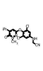 CC(C)c1cc(Oc2c(Cl)cc(NCC#N)cc2Cl)nn(C)c1=O